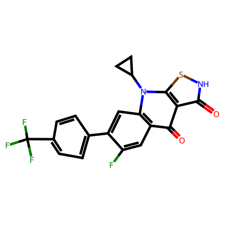 O=c1[nH]sc2c1c(=O)c1cc(F)c(-c3ccc(C(F)(F)F)cc3)cc1n2C1CC1